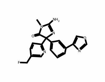 CN1C(=O)C(c2cccc(-c3cocn3)c2)(c2ccc(CF)cn2)N=C1N